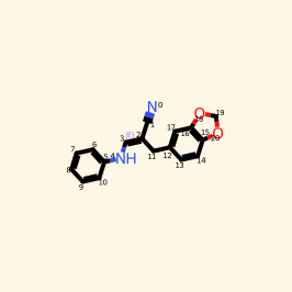 N#C/C(=C/Nc1ccccc1)Cc1ccc2c(c1)OCO2